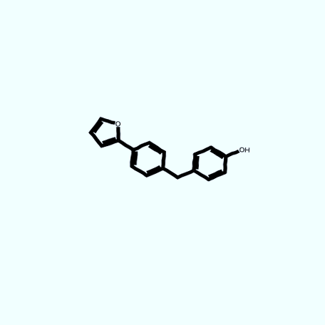 Oc1ccc(Cc2ccc(-c3ccco3)cc2)cc1